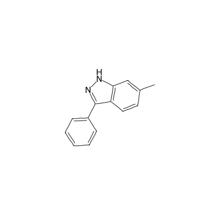 Cc1ccc2c(-c3ccccc3)n[nH]c2c1